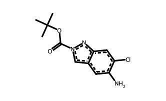 CC(C)(C)OC(=O)n1cc2cc(N)c(Cl)cc2n1